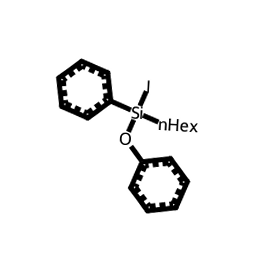 CCCCCC[Si](I)(Oc1ccccc1)c1ccccc1